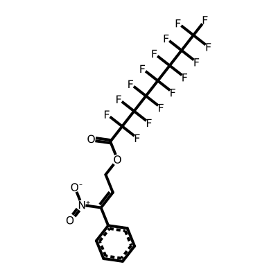 O=C(OCC=C(c1ccccc1)[N+](=O)[O-])C(F)(F)C(F)(F)C(F)(F)C(F)(F)C(F)(F)C(F)(F)C(F)(F)F